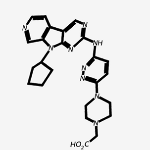 O=C(O)CN1CCN(c2ccc(Nc3ncc4c5ccncc5n(C5CCCC5)c4n3)nn2)CC1